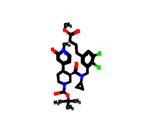 COC(=O)CCCc1cc(Cl)c(Cl)c(CN(C(=O)[C@@H]2CN(C(=O)OC(C)(C)C)CCC2c2ccn(C)c(=O)c2)C2CC2)c1